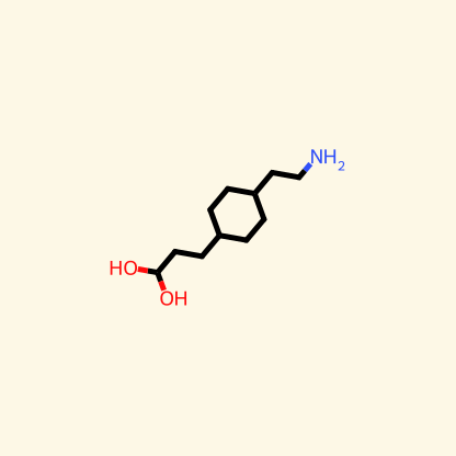 NCCC1CCC(CCC(O)O)CC1